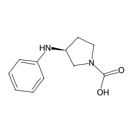 O=C(O)N1CC[C@H](Nc2ccccc2)C1